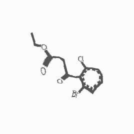 CCOC(=O)CC(=O)c1c(Cl)cccc1Br